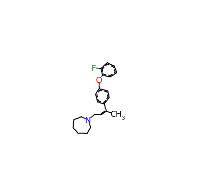 CC(=CCN1CCCCCC1)c1ccc(Oc2ccccc2F)cc1